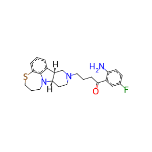 Nc1ccc(F)cc1C(=O)CCCN1CC[C@H]2[C@@H](C1)c1cccc3c1N2CCCS3